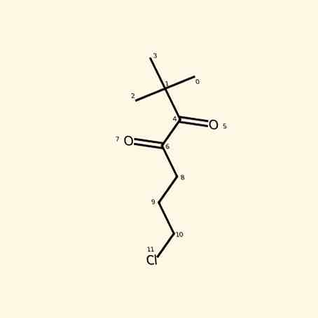 CC(C)(C)C(=O)C(=O)CCCCl